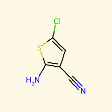 N#Cc1cc(Cl)sc1N